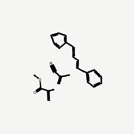 C(C=Cc1ccccc1)=Cc1ccccc1.C=C(C)C#N.C=C(C)C(=O)OC